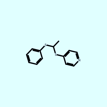 C[C](Sc1ccccc1)Sc1ccncc1